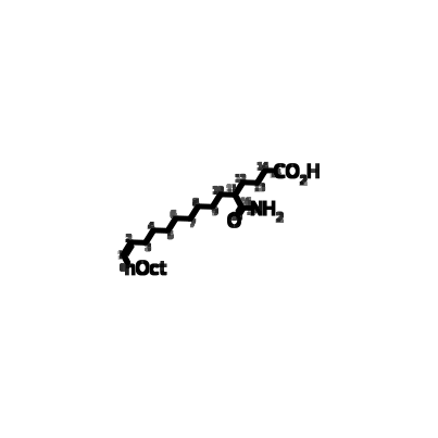 CCCCCCCC/C=C\CCCCCCCCC(CCCC(=O)O)C(N)=O